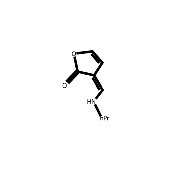 CCCNC=C1C=COC1=O